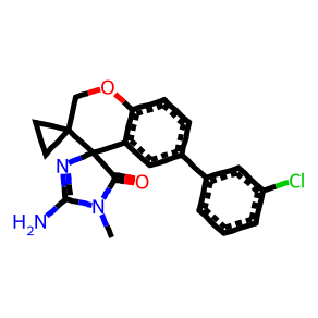 CN1C(=O)C2(N=C1N)c1cc(-c3cccc(Cl)c3)ccc1OCC21CC1